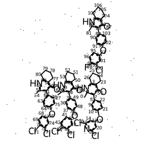 Cc1[nH]c2c(c(=O)c1-c1ccc(Oc3cc(Cl)nc(Cl)c3)cc1)CCCC2.Cc1[nH]c2c(c(=O)c1-c1ccc(Oc3ccc(Cl)c(Cl)c3)cc1)CCCC2.Cc1[nH]c2c(c(=O)c1-c1ccc(Oc3ccc(Cl)c(Cl)c3)cc1)CCCC2.Cc1[nH]c2c(c(=O)c1-c1ccc(Oc3ccc(F)c(Cl)c3)cc1)CCCC2